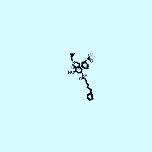 CC(=O)Oc1cccc([C@@]23CCN(CC4CC4)C[C@H]2C(O)C[C@H](NC(=O)CCCCCc2ccccc2)C3)c1